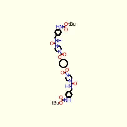 CC(C)(C)OC(=O)Nc1ccc(CNC(=O)N2CCN(C(=O)O[C@H]3CCC[C@@H](OC(=O)N4CCN(C(=O)NCc5ccc(NC(=O)OC(C)(C)C)cc5)CC4)CCC3)CC2)cc1